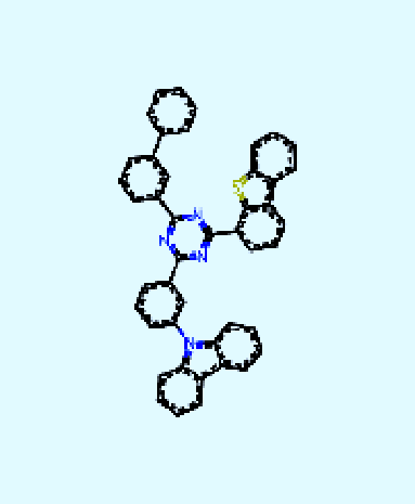 c1ccc(-c2cccc(-c3nc(-c4cccc(-n5c6ccccc6c6ccccc65)c4)nc(-c4cccc5c4sc4ccccc45)n3)c2)cc1